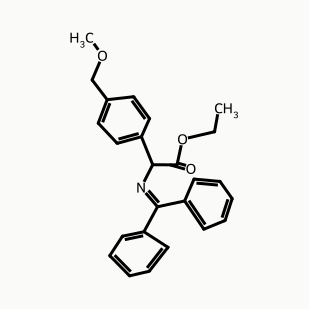 CCOC(=O)C(N=C(c1ccccc1)c1ccccc1)c1ccc(COC)cc1